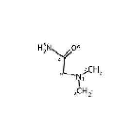 [CH2]N(C)CC(N)=O